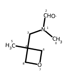 CN([C]=O)CC1(C)COC1